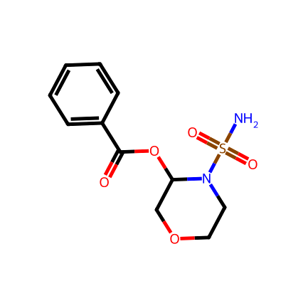 NS(=O)(=O)N1CCOCC1OC(=O)c1ccccc1